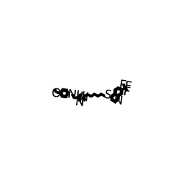 COc1ccc(NCc2cn(CCCCCCSc3ccnc4cc(C(F)(F)F)ccc34)cn2)cc1